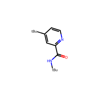 CC(C)(C)NC(=O)c1cc(C(C)(C)C)ccn1